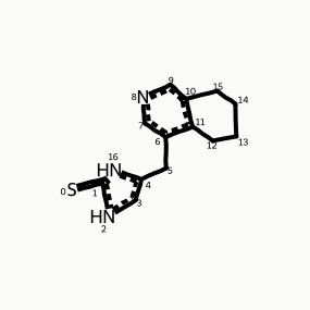 S=c1[nH]cc(Cc2cncc3c2CCCC3)[nH]1